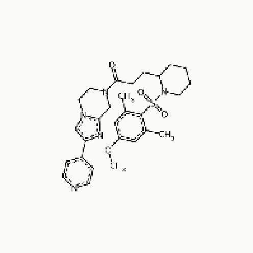 COc1cc(C)c(S(=O)(=O)N2CCCCC2CCC(=O)N2CCn3cc(-c4ccncc4)nc3C2)c(C)c1